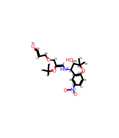 CC(C)(C)OC(=CN[C@@H]1c2cc([N+](=O)[O-])ccc2OC(C)(C)[C@H]1O)COCC=C=O